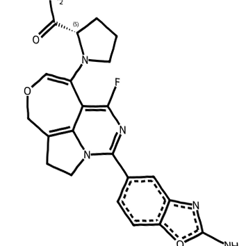 NC(=O)[C@@H]1CCCN1C1=COCC2=C3C1=C(F)N=C(c1ccc4oc(N)nc4c1)N3CC2